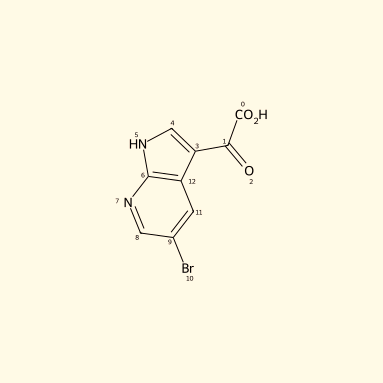 O=C(O)C(=O)c1c[nH]c2ncc(Br)cc12